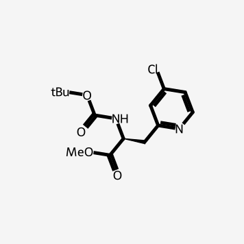 COC(=O)[C@H](Cc1cc(Cl)ccn1)NC(=O)OC(C)(C)C